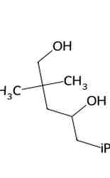 CC(C)CC(O)CC(C)(C)CO